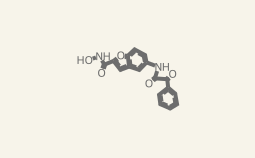 O=C(Nc1ccc2oc(C(=O)NO)cc2c1)C(=O)c1ccccc1